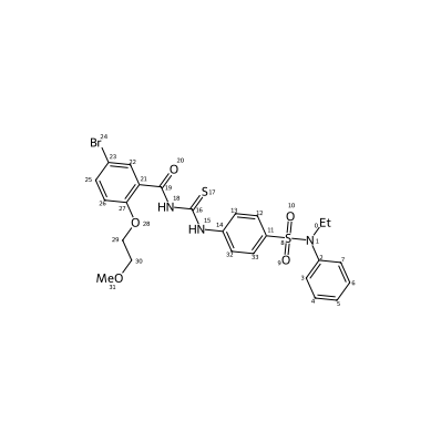 CCN(c1ccccc1)S(=O)(=O)c1ccc(NC(=S)NC(=O)c2cc(Br)ccc2OCCOC)cc1